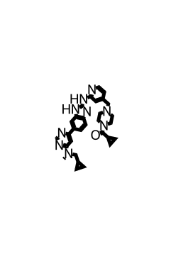 CN(CC1CC1)c1cc(-c2ccc3nc(Nc4cc(CN5CCN(C(=O)C6CC6)CC5)ccn4)[nH]c3c2)ncn1